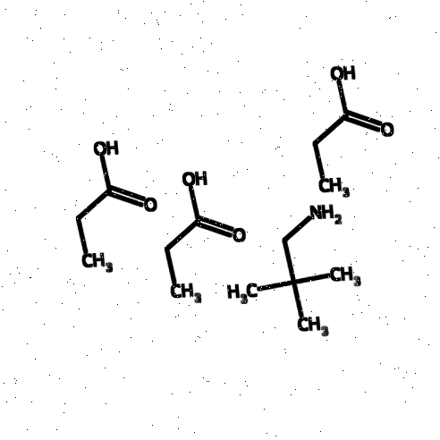 CC(C)(C)CN.CCC(=O)O.CCC(=O)O.CCC(=O)O